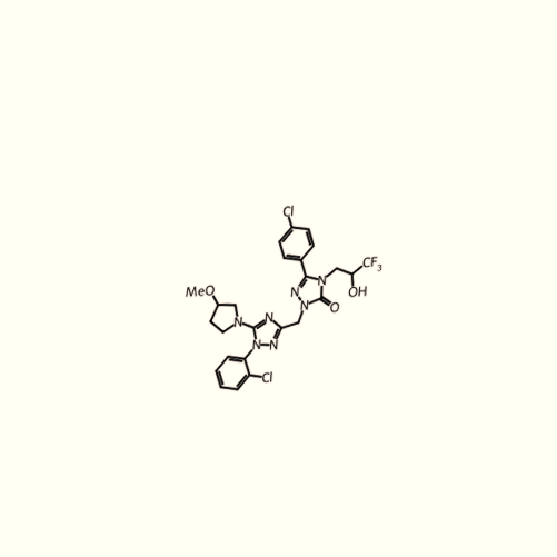 COC1CCN(c2nc(Cn3nc(-c4ccc(Cl)cc4)n(CC(O)C(F)(F)F)c3=O)nn2-c2ccccc2Cl)C1